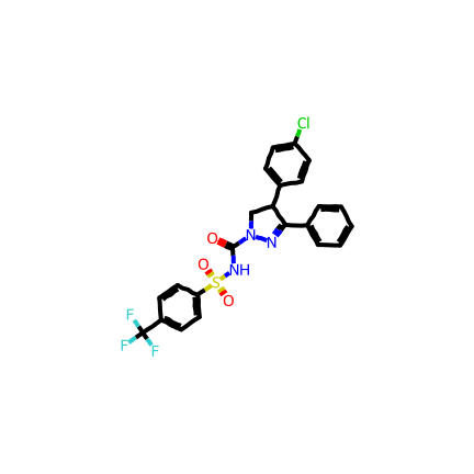 O=C(NS(=O)(=O)c1ccc(C(F)(F)F)cc1)N1CC(c2ccc(Cl)cc2)C(c2ccccc2)=N1